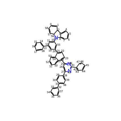 C1=CC2c3ccccc3N(c3cc(-c4ccccc4)cc(-c4ccc(-c5cc(-c6ccc(-c7ccccc7)cc6)nc(-c6ccccc6)n5)c5ccccc45)c3)C2C=C1